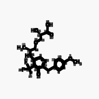 COc1ccc(Cn2ncc(N[C@@H](C)COC[C@H](O)C(=O)O)c(C(F)(F)F)c2=O)cc1